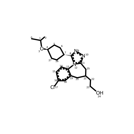 CC(C)O[C@H]1CC[C@H](c2nnc3n2-c2ccc(Cl)cc2CC(CCO)C3)CC1